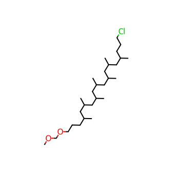 COCOCCCC(C)CC(C)CC(C)CC(C)CC(C)CC(C)CC(C)CCCCl